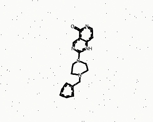 O=c1nccc2[nH]c(N3CCN(Cc4ccccc4)CC3)ncc1-2